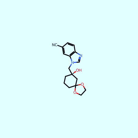 N#Cc1ccc2ncn(C[C@@]3(O)CCCC4(C3)OCCO4)c2c1